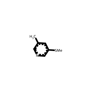 CSc1cn[c]c(C)c1